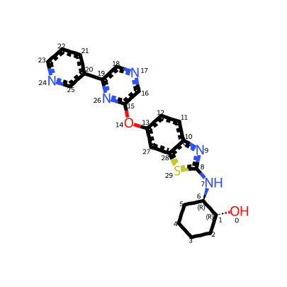 O[C@@H]1CCCC[C@H]1Nc1nc2ccc(Oc3cncc(-c4cccnc4)n3)cc2s1